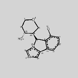 O[C@@H]1CCOC[C@H]1C1c2c(Cl)cccc2-c2cncn21